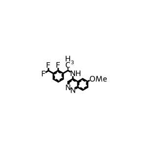 COc1ccc2nncc(N[C@H](C)c3cccc(C(F)F)c3F)c2c1